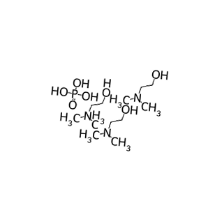 CN(C)CCO.CN(C)CCO.CN(C)CCO.O=P(O)(O)O